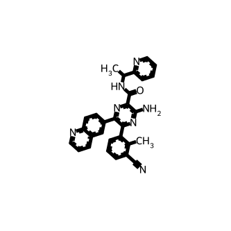 Cc1c(C#N)cccc1-c1nc(N)c(C(=O)NC(C)c2ccccn2)nc1-c1ccc2ncccc2c1